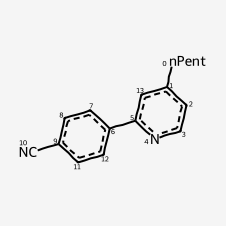 CCCCCc1ccnc(-c2ccc(C#N)cc2)c1